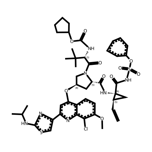 C=C[C@@H]1C[C@]1(NC(=O)[C@@H]1C[C@@H](Oc2cc(-c3csc(NC(C)C)n3)nc3c(Cl)c(OC)ccc23)CN1C(=O)[C@@H](NC(=O)OC1CCCC1)C(C)(C)C)C(=O)NS(=O)(=O)Oc1ccccc1